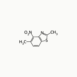 Cc1nc2c([N+](=O)[O-])c(C)ccc2s1